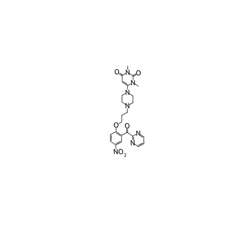 Cn1c(N2CCN(CCCOc3ccc([N+](=O)[O-])cc3C(=O)c3ncccn3)CC2)cc(=O)n(C)c1=O